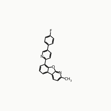 Cc1ccc2c(n1)oc1c(-c3ccc(-c4ccc(F)cc4)cn3)cccc12